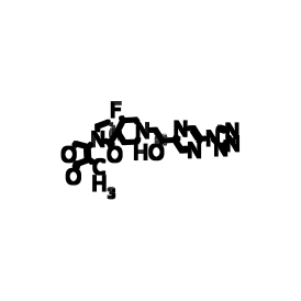 CC1=C(N2CC[C@]3(CCN(C[C@H](O)c4cnc(-n5cnnn5)cn4)CC3F)C2=O)COC1=O